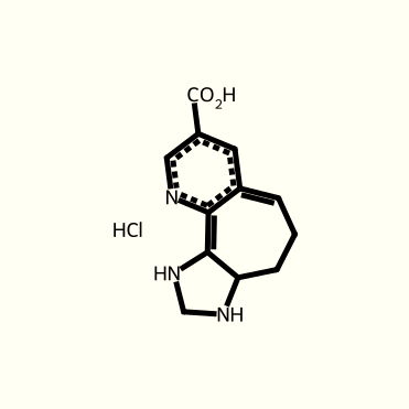 Cl.O=C(O)c1cnc2c(c1)=CCCC1NCNC=21